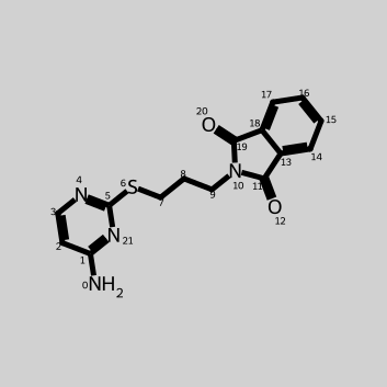 Nc1ccnc(SCCCN2C(=O)c3ccccc3C2=O)n1